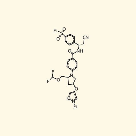 CCn1cc(O[C@H]2C[C@@H](COC(F)F)N(c3ccc(C(=O)N[C@@H](CC#N)c4ccc(S(=O)(=O)CC)cc4)cc3)C2)cn1